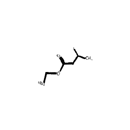 CCCCCOC(=O)CC(C)I